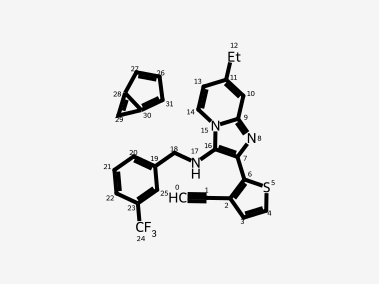 C#Cc1ccsc1-c1nc2cc(CC)ccn2c1NCc1cccc(C(F)(F)F)c1.c1cc2cc-2c1